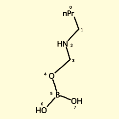 CCCCNCOB(O)O